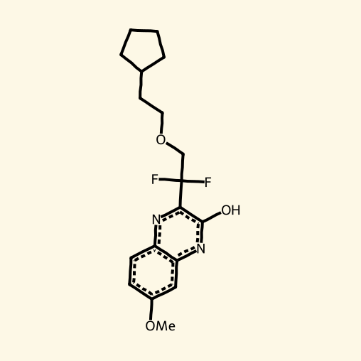 COc1ccc2nc(C(F)(F)COCCC3CCCC3)c(O)nc2c1